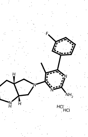 Cc1c(-c2cccc(F)c2)nc(N)nc1N1C[C@H]2CCCN[C@H]2C1.Cl.Cl